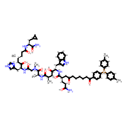 CC[C@H](C)[C@@H](CCC(=O)N[C@@H](CC1CC1)C(N)=O)CC(=O)[C@H](Cc1c[nH]cn1)NC(=O)CN(C)C(=O)[C@@H](NC(=O)[C@H](C)CC(=O)[C@H](Cc1c[nH]c2ccccc12)NC(=O)[C@H](CCC(N)=O)CC(=O)CCCCCC(=O)c1ccc([S+](c2ccc(C)cc2)c2ccc(C)cc2)cc1)C(C)C